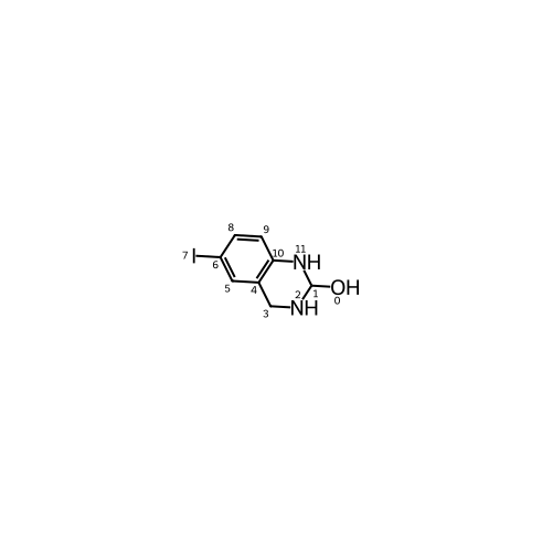 OC1NCc2cc(I)ccc2N1